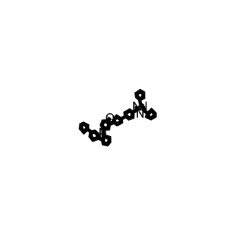 c1ccc(-c2ccc3c4ccccc4n(-c4ccc5oc6cc(-c7ccc(-c8nc(-c9ccccc9)nc(-c9ccccc9)n8)cc7)ccc6c5c4)c3c2)cc1